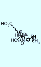 Cc1ncsc1-c1ccc(CNC(=O)[C@@H]2C[C@@H](O)CN2C(=O)C(NC(=O)CCCCCCCC(=O)O)C(C)(C)C)cc1